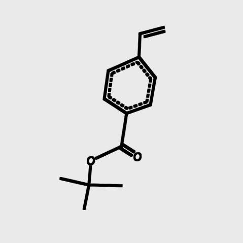 C=Cc1ccc(C(=O)OC(C)(C)C)cc1